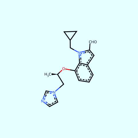 C[C@H](Cn1ccnc1)Oc1cccc2cc(C=O)n(CC3CC3)c12